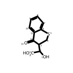 O=C(O)C(O)C1CSc2ccccc2C1=O